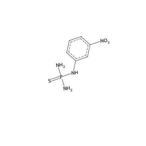 NP(N)(=S)Nc1cccc([N+](=O)[O-])c1